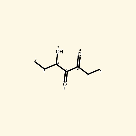 CCC(=O)C(=O)C(O)CC